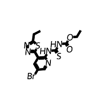 CCOC(=O)NC(=S)Nc1ncc(Br)cc1-c1nnc(CC)s1